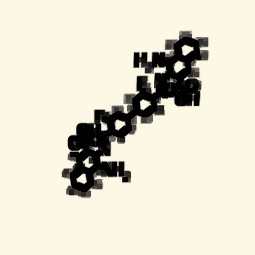 Nc1c(/N=N/c2ccc(-c3ccc(/N=N/c4c(S(=O)(=O)O)cc5ccccc5c4N)c(F)c3)cc2F)c(S(=O)(=O)O)cc2ccccc12